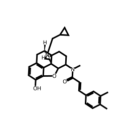 Cc1ccc(/C=C/C(=O)N(C)C2CC[C@@]3(O)[C@H]4Cc5ccc(O)c6c5[C@@]3(CCN4CC3CC3)C2O6)cc1C